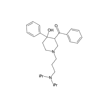 CC(C)N(CCCN1CCC(O)(c2ccccc2)C(C(=O)c2ccccc2)C1)C(C)C